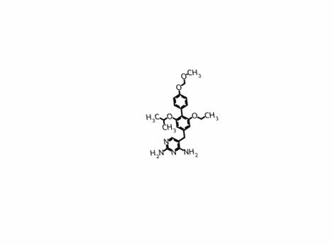 CCOc1cc(Cc2cnc(N)nc2N)cc(OC(C)C)c1-c1ccc(OCOC)cc1